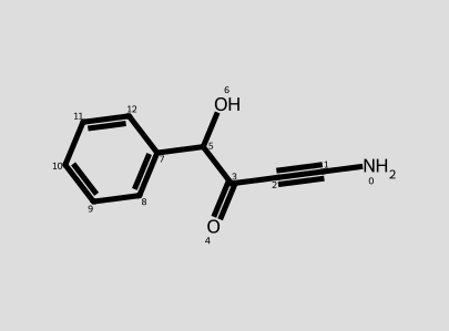 NC#CC(=O)C(O)c1ccccc1